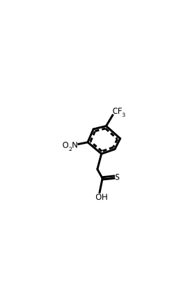 O=[N+]([O-])c1cc(C(F)(F)F)ccc1CC(O)=S